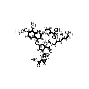 C/C=C\CCCCN(C)C(=O)[C@@H]1C[C@H](Oc2cc(-n3ccc(C(C)(C)C)n3)nc3c(C)c(OC)ccc23)C[C@H]1C(=O)NC1(C(=O)O)CC1